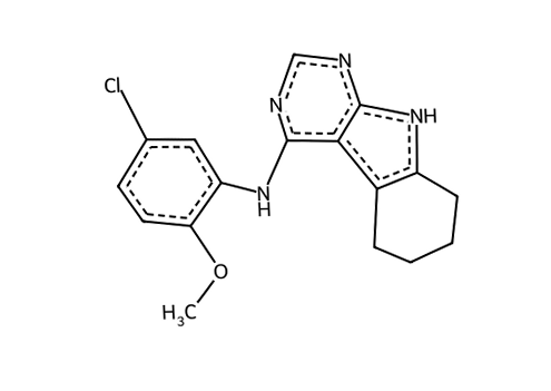 COc1ccc(Cl)cc1Nc1ncnc2[nH]c3c(c12)CCCC3